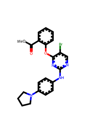 COC(=O)c1ccccc1Oc1nc(Nc2ccc(N3CCCC3)cc2)ncc1Br